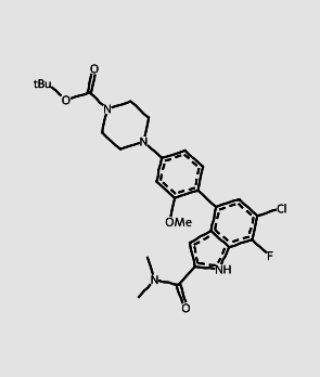 COc1cc(N2CCN(C(=O)OC(C)(C)C)CC2)ccc1-c1cc(Cl)c(F)c2[nH]c(C(=O)N(C)C)cc12